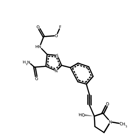 CN1CC[C@@](O)(C#Cc2cccc(-c3nc(C(N)=O)c(NC(=O)OF)s3)c2)C1=O